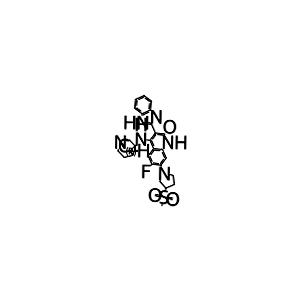 CS(=O)(=O)C1CCN(c2cc3[nH]c(=O)c(-c4nc5ccccc5[nH]4)c(N[C@H]4CN5CCC4CC5)c3cc2F)C1